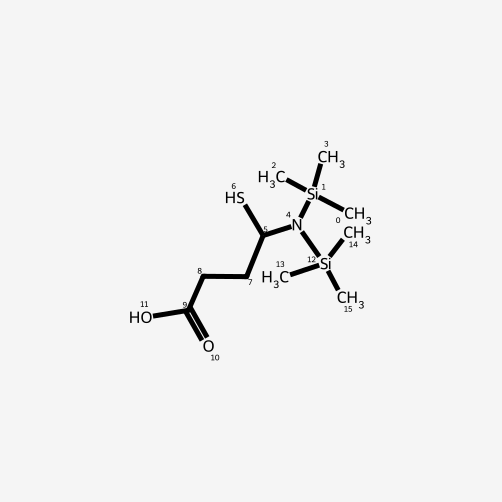 C[Si](C)(C)N(C(S)CCC(=O)O)[Si](C)(C)C